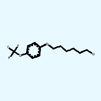 [O]CCCCCCOc1ccc(OC(F)(F)F)cc1